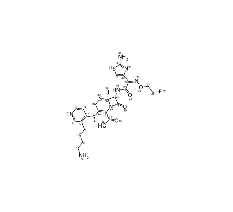 NCCSCc1cnccc1SC1=C(C(=O)O)N2C(=O)[C@@H](NC(=O)/C(=N\OCCF)c3csc(N)n3)[C@@H]2SC1